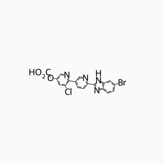 O=C(O)Oc1cnc(-c2ccc(-c3nc4ccc(Br)cc4[nH]3)nc2)c(Cl)c1